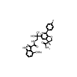 COc1cccc2[nH]nc(C(=O)NCC(O)(c3cc4c(c(-c5ccc(F)cc5)n3)OC[C@]4(C)C(N)=O)C(F)(F)F)c12